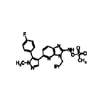 CC(C)Cn1c(NOS(C)(=O)=O)nc2ccc(-c3cnn(C)c3-c3ccc(F)cc3)nc21